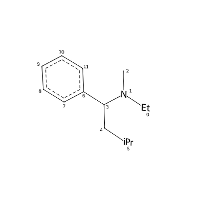 CCN(C)C(CC(C)C)c1ccccc1